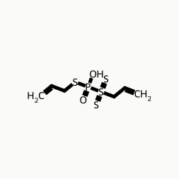 C=CCSP(=O)(O)S(=S)(=S)CC=C